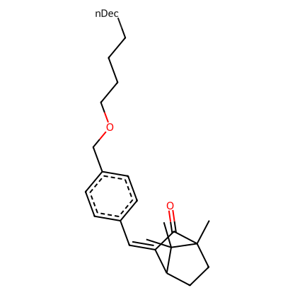 CCCCCCCCCCCCCCOCc1ccc(/C=C2\C(=O)C3(C)CCC2C3(C)C)cc1